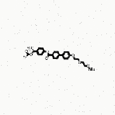 CCCCOCCOCCOc1ccc(-c2ccc(C(=O)Oc3ccc([C@@H](C)OC(=O)CC)cc3)cc2)cc1